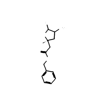 BC1O[C@@](CC)(CC(=O)OCc2ccccc2)CC1SC